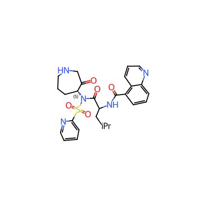 CC(C)CC(NC(=O)c1cccc2ncccc12)C(=O)N([C@H]1CCCNCC1=O)S(=O)(=O)c1ccccn1